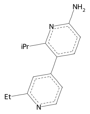 CCc1cc(-c2ccc(N)nc2C(C)C)ccn1